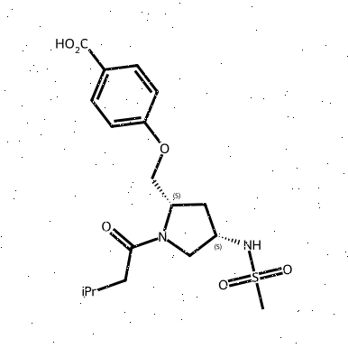 CC(C)CC(=O)N1C[C@@H](NS(C)(=O)=O)C[C@H]1COc1ccc(C(=O)O)cc1